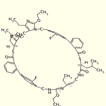 CCO/C1=N/C(CC)=C/CNC(=O)[C@H](CC(C)C)SC(=O)c2ccccc2-c2ccc(c(F)c2)Cn2c(OCC)nc(CC)c2CNC(=O)[C@H](CC(C)C)SC(=O)c2ccccc2-c2ccc(c(F)c2)CN1